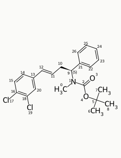 CN(C(=O)OC(C)(C)C)[C@@H](CC=Cc1ccc(Cl)c(Cl)c1)c1ccccc1